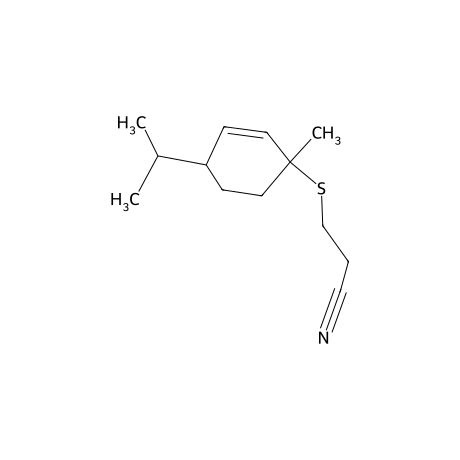 CC(C)C1C=CC(C)(SCCC#N)CC1